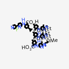 CCN(C)c1ncc(Nc2ccc(C)cc2C(=O)O)cc1C.CCN(CC)c1ncc(Nc2ccc(C)cc2C(=O)O)cc1C.COCCN(C)c1ncc(Nc2ccc(C)cc2C(=O)O)cc1C.O=C(O)c1cc(C2CC2)ccc1Nc1ccc(-c2ccncc2F)nc1